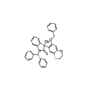 O=C1N(C(c2ccccc2)c2ccccc2)c2ccccc2C1(O)c1cc2c(cc1OCc1ccccc1)OCCC2